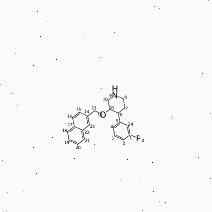 Fc1cccc(C2CCNCC2OCc2ccc3ccccc3c2)c1